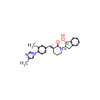 Cc1cn(-c2ccc(/C=C3\CCCN([C@@H]4Cc5ccccc5[C@@H]4O)C3=O)cc2C)cn1